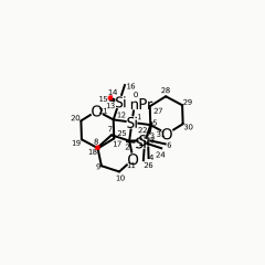 [CH2]CC[Si](C1([Si](C)(C)C)CCCCO1)(C1([Si](C)(C)C)CCCCO1)C1([Si](C)(C)C)CCCCO1